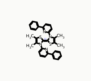 CC1=C(C)N(c2cccc(-c3ccccc3)n2)/C(=C2\SC(C)=C(C)N2c2cccc(-c3ccccc3)n2)S1